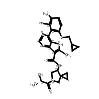 Cc1ccc(OCC2CC2)c(-c2ncnc3c(C(=O)NC4CN(C(=O)[C@H](C)O)CC45CC5)c(C)[nH]c23)c1F